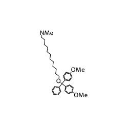 CNCCCCCCCCCCCCOC(c1ccccc1)(c1ccc(OC)cc1)c1ccc(OC)cc1